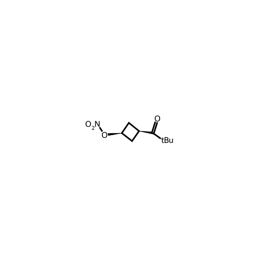 CC(C)(C)C(=O)[C@H]1C[C@@H](O[N+](=O)[O-])C1